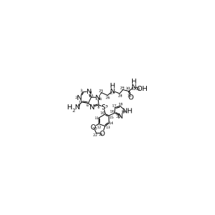 Nc1ncnc2c1nc(Sc1cc3c(cc1-c1cc[nH]n1)OCO3)n2CCNCCC(=O)NO